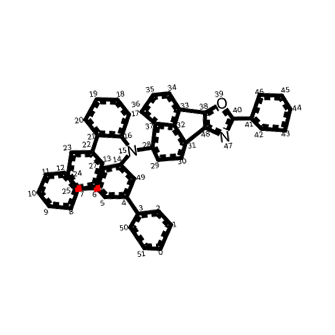 c1ccc(-c2cc(-c3ccccc3)cc(N(c3ccccc3-c3ccccc3)c3ccc4c5c(cccc35)-c3oc(-c5ccccc5)nc3-4)c2)cc1